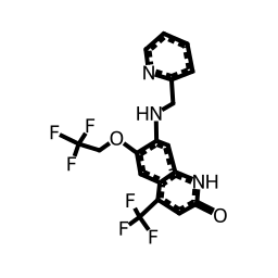 O=c1cc(C(F)(F)F)c2cc(OCC(F)(F)F)c(NCc3ccccn3)cc2[nH]1